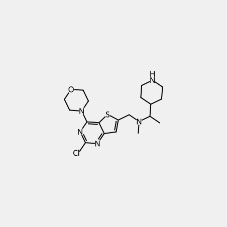 CC(C1CCNCC1)N(C)Cc1cc2nc(Cl)nc(N3CCOCC3)c2s1